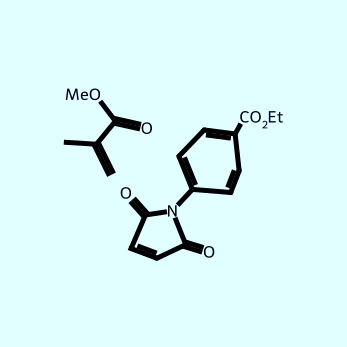 C=C(C)C(=O)OC.CCOC(=O)c1ccc(N2C(=O)C=CC2=O)cc1